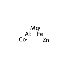 [Al].[Co].[Fe].[Mg].[Zn]